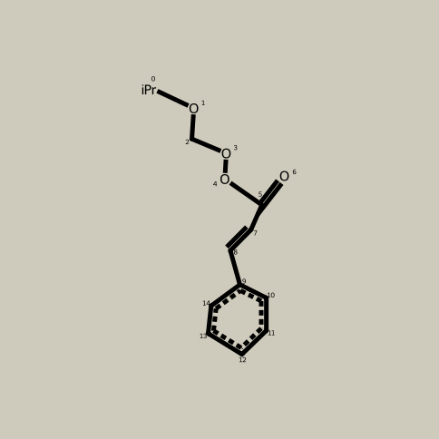 CC(C)OCOOC(=O)C=Cc1ccccc1